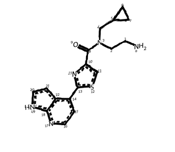 NCCN(CC1CC1)C(=O)c1csc(-c2ccnc3[nH]ccc23)n1